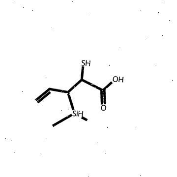 C=CC(C(S)C(=O)O)[SiH](C)C